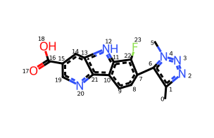 Cc1nnn(C)c1-c1ccc2c([nH]c3cc(C(=O)O)cnc32)c1F